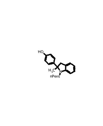 CCCCCN1c2ccccc2CC1(C)c1ccc(O)cc1